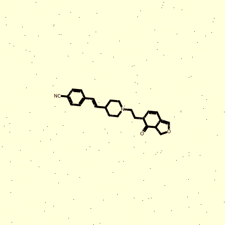 N#Cc1ccc(/C=C/C2CCN(CCC3C=CC4=COCC4C3=O)CC2)cc1